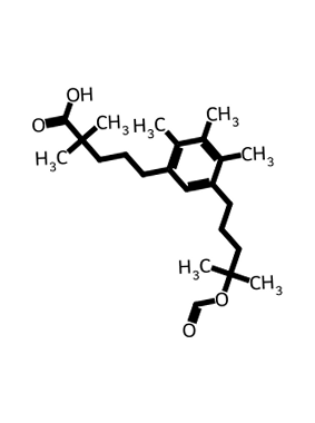 Cc1c(CCCC(C)(C)OC=O)cc(CCCC(C)(C)C(=O)O)c(C)c1C